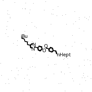 CCCCCCCC=Cc1ccc(C(=O)Oc2ccc(-c3ncc(CCCCCC(C)CC)cn3)cc2)cc1